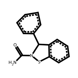 NC(=O)N1Sc2ccccc2C1c1ccccc1